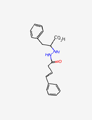 O=C(CC=Cc1ccccc1)NNC(Cc1ccccc1)C(=O)O